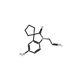 C=CCN1C(=O)C2(CCCC2)c2cc(N)ccc21